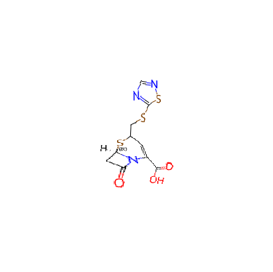 O=C(O)C1=CC(CSc2ncns2)S[C@@H]2CC(=O)N12